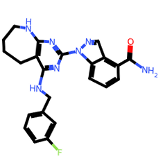 NC(=O)c1cccc2c1cnn2-c1nc2c(c(NCc3cccc(F)c3)n1)CCCCN2